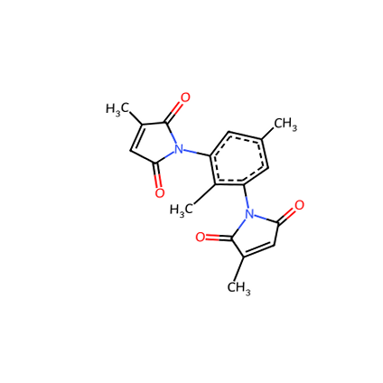 CC1=CC(=O)N(c2cc(C)cc(N3C(=O)C=C(C)C3=O)c2C)C1=O